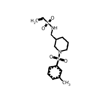 C=CS(=O)(=O)NCC1CCCN(S(=O)(=O)c2cccc(C)c2)C1